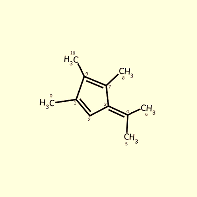 CC1=CC(=C(C)C)C(C)=C1C